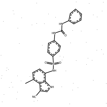 Cc1ccc(NS(=O)(=O)c2ccc(NC(=O)Nc3ccccc3)cc2)c2[nH]cc(C#N)c12